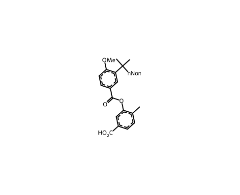 CCCCCCCCCC(C)(C)c1cc(C(=O)Oc2cc(C(=O)O)ccc2C)ccc1OC